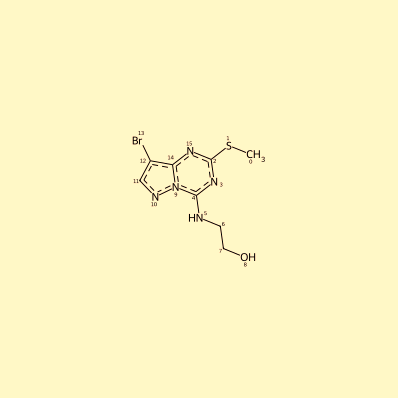 CSc1nc(NCCO)n2ncc(Br)c2n1